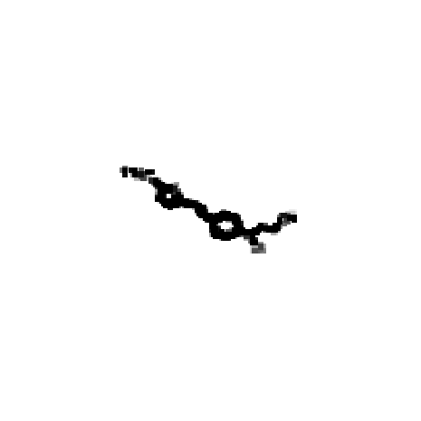 CCN(CCO)c1ccc(C=Cc2ccc(C=O)s2)cc1